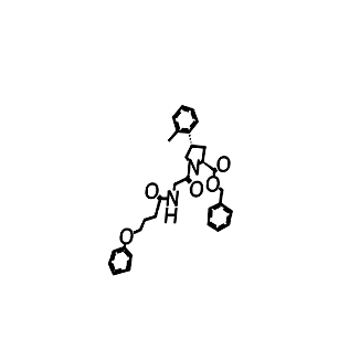 Cc1ccccc1[C@@H]1C[C@@H](C(=O)OCc2ccccc2)N(C(=O)CNC(=O)CCCOc2ccccc2)C1